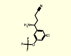 Cl.N#CCCC(N)c1cccc(OC(F)(F)F)c1